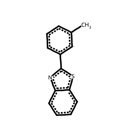 Cc1[c]c(-c2nc3ccccc3s2)ccc1